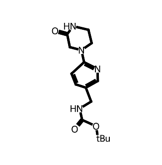 CC(C)(C)OC(=O)NCc1ccc(N2CCNC(=O)C2)nc1